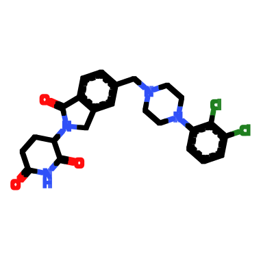 O=C1CCC(N2Cc3cc(CN4CCN(c5cccc(Cl)c5Cl)CC4)ccc3C2=O)C(=O)N1